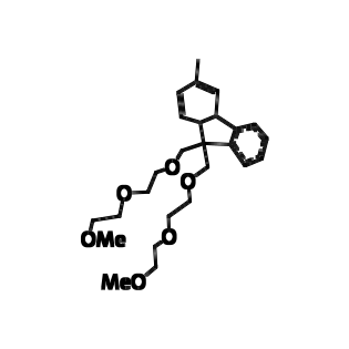 COCCOCCOCC1(COCCOCCOC)c2ccccc2C2C=C(C)C=CC21